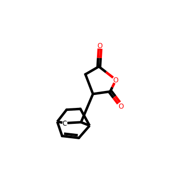 O=C1CC(C2CC3C=CC2CC3)C(=O)O1